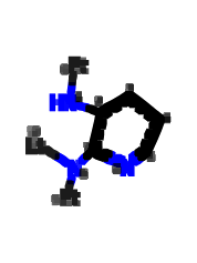 CCNc1cccnc1N(CC)CC